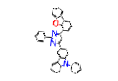 c1ccc(-c2nc(-c3ccc4c(c3)c3ccccc3n4-c3ccccc3)cc(-c3cccc4c3oc3ccccc34)n2)cc1